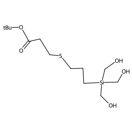 CC(C)(C)OC(=O)CCSCCC[Si](CO)(CO)CO